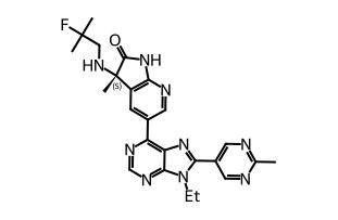 CCn1c(-c2cnc(C)nc2)nc2c(-c3cnc4c(c3)[C@](C)(NCC(C)(C)F)C(=O)N4)ncnc21